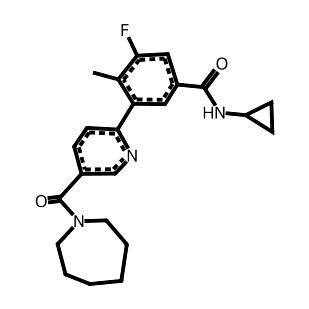 Cc1c(F)cc(C(=O)NC2CC2)cc1-c1ccc(C(=O)N2CCCCCC2)cn1